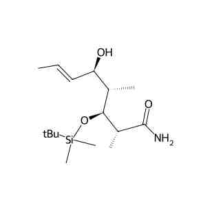 C/C=C/[C@@H](O)[C@H](C)[C@H](O[Si](C)(C)C(C)(C)C)[C@@H](C)C(N)=O